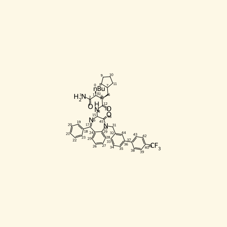 CCCC[C@H](C(N)=O)[C@@H](CC1CCCC1)C(=O)NC1N=C(c2ccccc2)c2ccccc2N(Cc2cccc(-c3ccc(C(F)(F)F)cc3)c2)C1=O